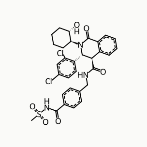 CS(=O)(=O)NC(=O)c1ccc(CNC(=O)[C@@H]2c3ccccc3C(=O)N([C@H]3CCCC[C@@H]3O)[C@H]2c2ccc(Cl)cc2Cl)cc1